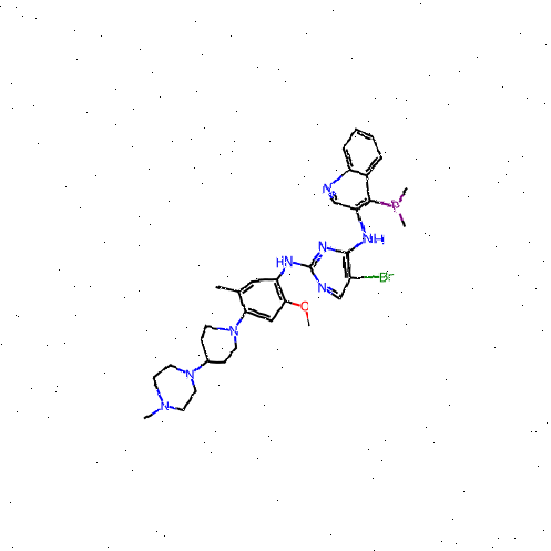 COc1cc(N2CCC(N3CCN(C)CC3)CC2)c(C)cc1Nc1ncc(Br)c(Nc2cnc3ccccc3c2P(C)C)n1